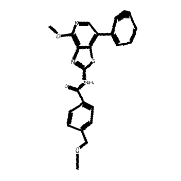 COCc1ccc(C(=O)Nc2nc3c(OC)ncc(-c4ccccc4)c3s2)cc1